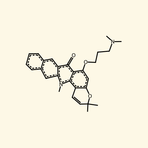 CN(C)CCCOc1cc2c(c3c1c(=O)c1cc4ccccc4cc1n3C)C=CC(C)(C)O2